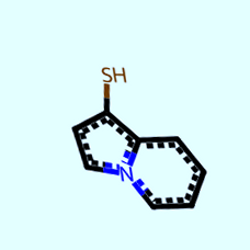 Sc1ccn2ccccc12